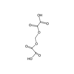 O=C(O)C(=O)OCOC(=O)C(=O)O